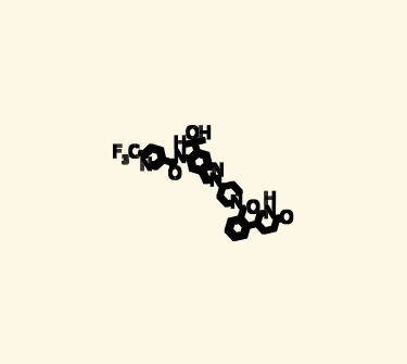 CC(C)(O)c1cc2nn(C3CCN(Cc4ccccc4C4CCC(=O)NC4=O)CC3)cc2cc1NC(=O)c1ccc(C(F)(F)F)nc1